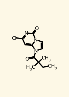 CCC(C)(C)C(=O)n1ccn2c(=O)nc(Cl)cc12